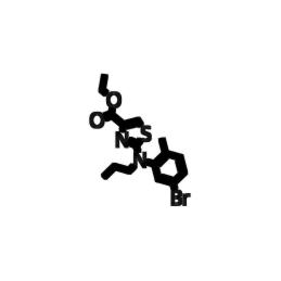 CCCN(c1nc(C(=O)OCC)cs1)c1cc(Br)ccc1C